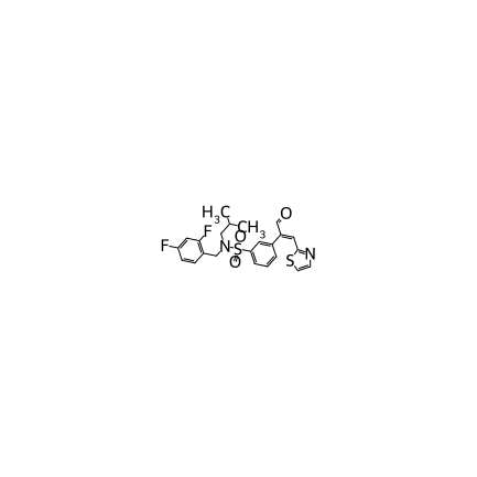 CC(C)CN(Cc1ccc(F)cc1F)S(=O)(=O)c1cccc(/C(C=O)=C\c2nccs2)c1